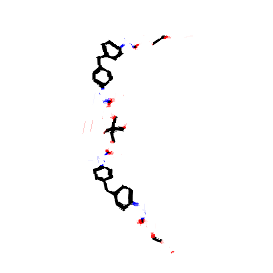 COCCOC(=O)Nc1ccc(Cc2ccc(NC(=O)OCC(CO)(CO)COC(=O)Nc3ccc(Cc4ccc(NC(=O)OCCO)cc4)cc3)cc2)cc1